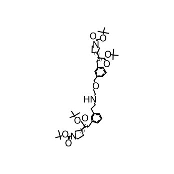 CC(C)(C)OC(=O)[C@@H](Cc1cccc(CCNCCOCc2cccc(C[C@H](C(=O)OC(C)(C)C)[C@H]3CCN(C(=O)OC(C)(C)C)C3)c2)c1)[C@H]1CCN(C(=O)OC(C)(C)C)C1